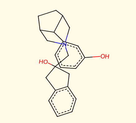 Oc1cccc(C2C3CCC2CN(CC2(O)Cc4ccccc4C2)C3)c1